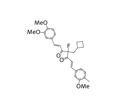 COc1cc(/C=C/C(=O)C(F)(CC2CCC2)C(=O)/C=C/c2ccc(OC)c(OC)c2)ccc1C